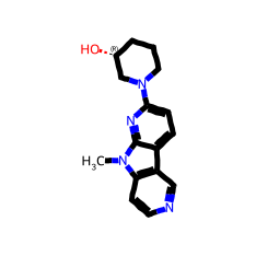 Cn1c2ccncc2c2ccc(N3CCC[C@@H](O)C3)nc21